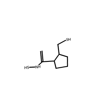 C=C(NS)C1CCCC1CS